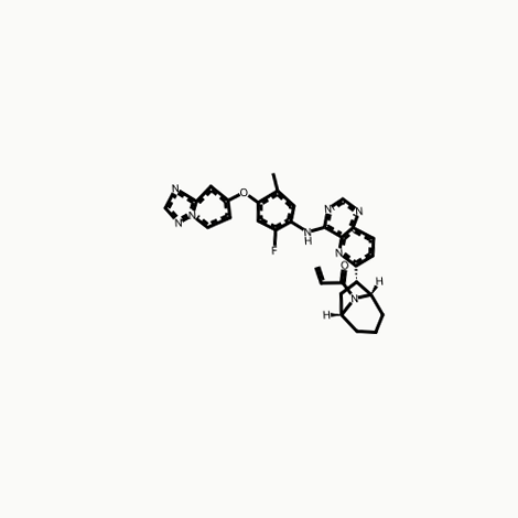 C=CC(=O)N1[C@@H]2CCC[C@H]1[C@@H](c1ccc3ncnc(Nc4cc(C)c(Oc5ccn6ncnc6c5)cc4F)c3n1)C2